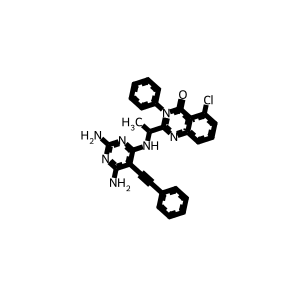 CC(Nc1nc(N)nc(N)c1C#Cc1ccccc1)c1nc2cccc(Cl)c2c(=O)n1-c1ccccc1